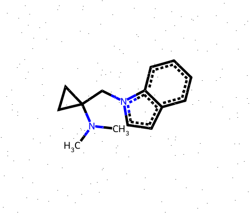 CN(C)C1(Cn2ccc3ccccc32)CC1